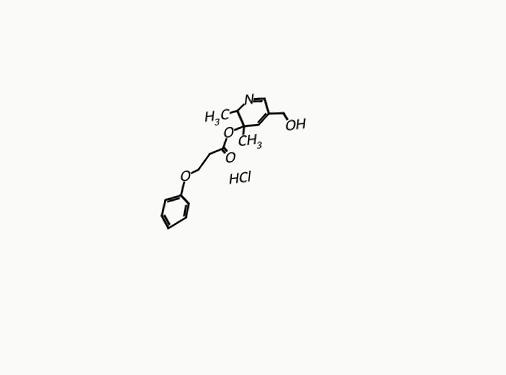 CC1N=CC(CO)=CC1(C)OC(=O)CCOc1ccccc1.Cl